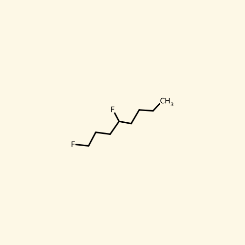 CCCCC(F)CCCF